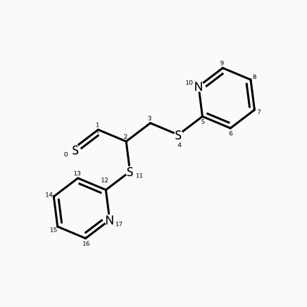 S=[C]C(CSc1ccccn1)Sc1ccccn1